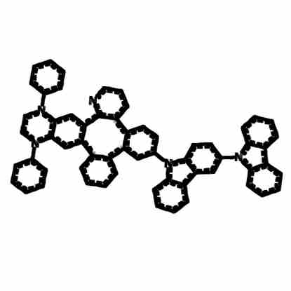 c1ccc(-n2ccn(-c3ccccc3)c3cc4c(cc32)c2ccccc2c2cc(-n3c5ccccc5c5cc(-n6c7ccccc7c7ccccc76)ccc53)ccc2c2cccnc24)cc1